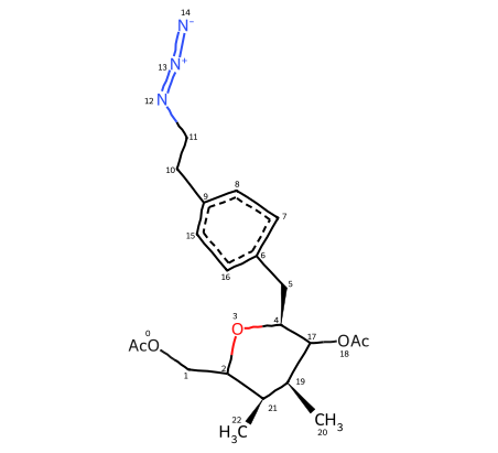 CC(=O)OCC1O[C@@H](Cc2ccc(CCN=[N+]=[N-])cc2)C(OC(C)=O)[C@@H](C)[C@H]1C